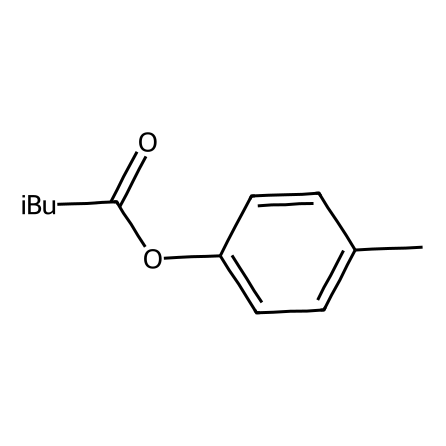 CCC(C)C(=O)Oc1ccc(C)cc1